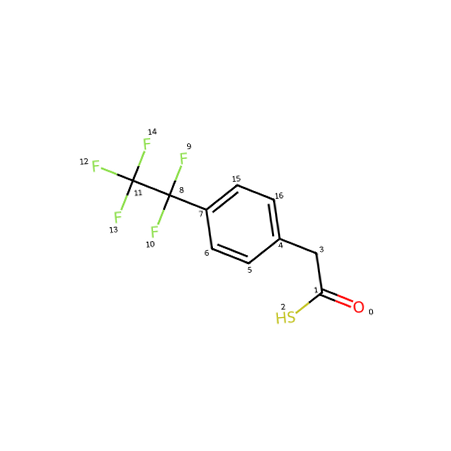 O=C(S)Cc1ccc(C(F)(F)C(F)(F)F)cc1